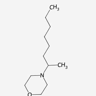 CCCCCCC(C)N1CCOCC1